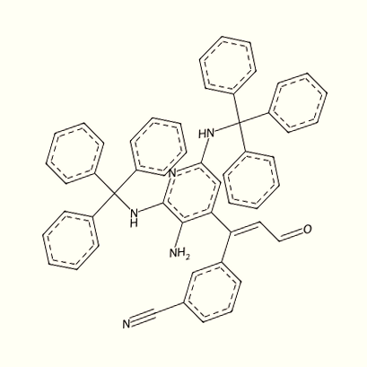 N#Cc1cccc(/C(=C\C=O)c2cc(NC(c3ccccc3)(c3ccccc3)c3ccccc3)nc(NC(c3ccccc3)(c3ccccc3)c3ccccc3)c2N)c1